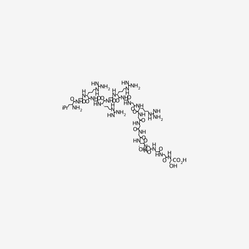 CC(C)C[C@H](N)C(=O)NCC(=O)N[C@@H](CCCNC(=N)N)C(=O)NCC(=O)N[C@@H](CCCNC(=N)N)C(=O)NCC(=O)N[C@@H](CCCNC(=N)N)C(=O)NCC(=O)NCC(=O)N[C@@H](CCCNC(=N)N)C(=O)NCC(=O)NCC(=O)NCC(=O)N[C@@H](CO)C(=O)NCC(=O)NCC(=O)NCC(=O)N[C@@H](CO)C(=O)O